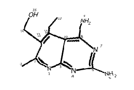 Cc1nc2nc(N)nc(N)c2c(C)c1CO